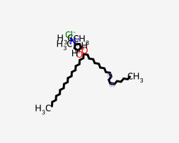 CCCCC/C=C\C/C=C\CCCCCCCCC1(CCCCCCCCCCCCCCCCCC)O[C@H]2C[C@H]([N+](C)(C)C)C[C@H]2O1.[Cl-]